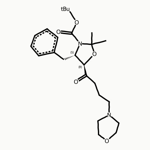 CC(C)(C)OC(=O)N1[C@@H](Cc2ccccc2)[C@H](C(=O)CCCN2CCOCC2)OC1(C)C